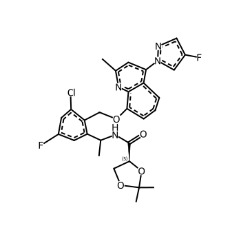 Cc1cc(-n2cc(F)cn2)c2cccc(OCc3c(Cl)cc(F)cc3C(C)NC(=O)[C@@H]3COC(C)(C)O3)c2n1